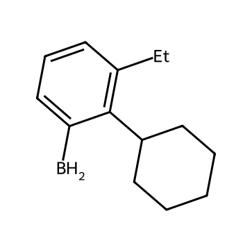 Bc1cccc(CC)c1C1CCCCC1